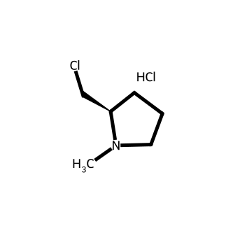 CN1CCC[C@@H]1CCl.Cl